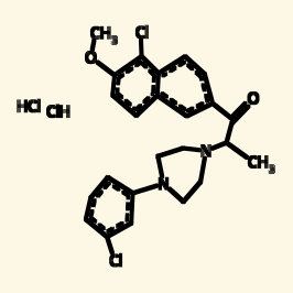 COc1ccc2cc(C(=O)C(C)N3CCN(c4cccc(Cl)c4)CC3)ccc2c1Cl.Cl.Cl